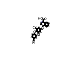 C/C=C(/C(=O)O)c1ccccc1COc1cc(Cl)c(Oc2ccc(C#N)cc2)c(Cl)c1